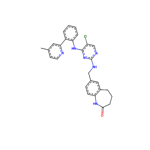 Cc1ccnc(-c2ccccc2Nc2nc(NCc3ccc4c(c3)CCCC(=O)N4)ncc2Cl)c1